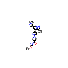 CC(C)OCCNC(=O)C1CCN(c2ccc(-c3cc(-c4cnn(C)c4)cn4ncc(C#N)c34)cn2)CC1